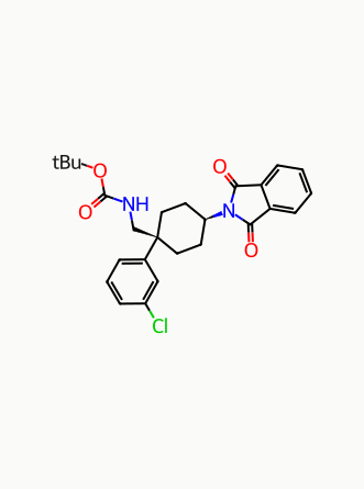 CC(C)(C)OC(=O)NC[C@]1(c2cccc(Cl)c2)CC[C@H](N2C(=O)c3ccccc3C2=O)CC1